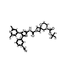 Cc1cc(-c2sc(NC(=O)N3CC4(C3)CN(C(=O)OC(C)(C)C)CCO4)nc2-c2cccc(C#N)c2)cc(C)n1